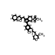 C[C@H]1COCCN1CCSc1cc(-c2nn(C[C@@H](O)CN3CCCCC3)c3c2CN(S(C)(=O)=O)CC3)ccc1C(F)(F)F